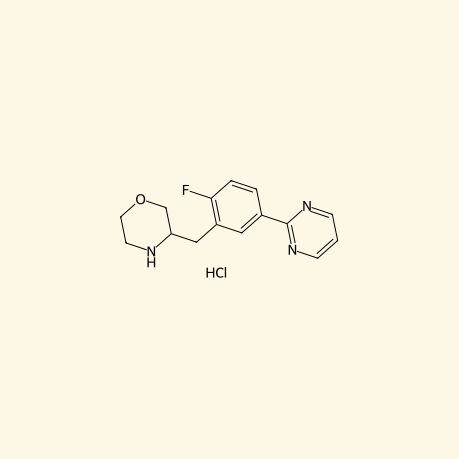 Cl.Fc1ccc(-c2ncccn2)cc1CC1COCCN1